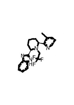 Cc1cccnc1[C@@H]1CCC[C@H](c2nc3ccccc3[nH]2)N1CC(F)(F)F